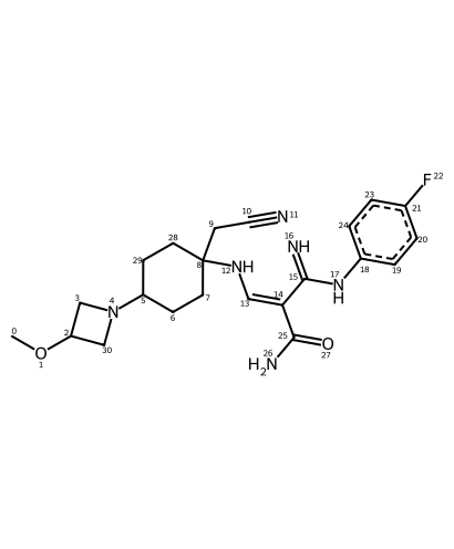 COC1CN(C2CCC(CC#N)(N/C=C(\C(=N)Nc3ccc(F)cc3)C(N)=O)CC2)C1